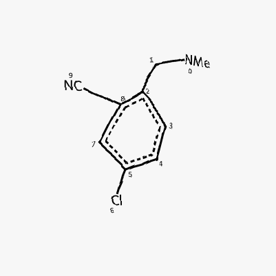 CNCc1ccc(Cl)cc1C#N